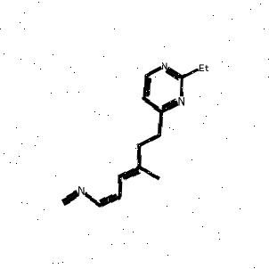 C=N/C=C\C=C(/C)CCc1ccnc(CC)n1